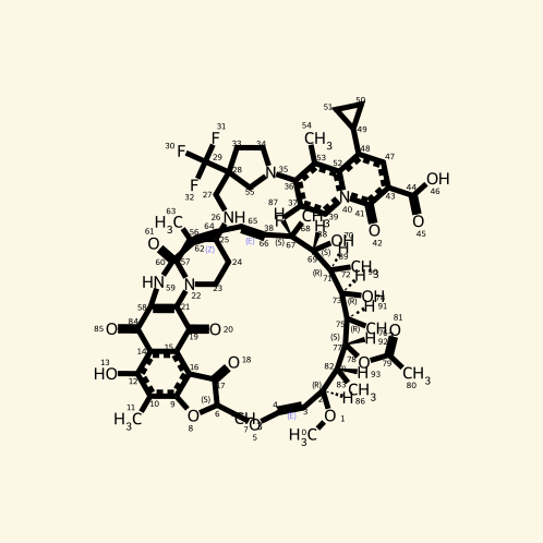 CO[C@H]1/C=C/O[C@@]2(C)Oc3c(C)c(O)c4c(c3C2=O)C(=O)C(N2CCC(NCC3(C(F)(F)F)CCN(c5c(F)cn6c(=O)c(C(=O)O)cc(C7CC7)c6c5C)C3)CC2)=C(NC(=O)/C(C)=C\C=C\[C@H](C)[C@H](O)[C@@H](C)[C@@H](O)[C@@H](C)[C@H](OC(C)=O)[C@@H]1C)C4=O